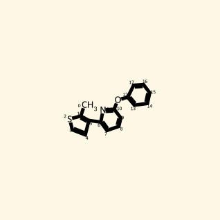 Cc1sccc1-c1cccc(Oc2ccccc2)n1